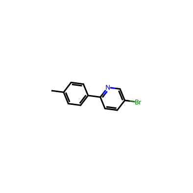 Cc1ccc(-c2ccc(Br)cn2)cc1